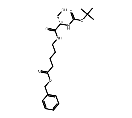 CC(C)(C)OC(=O)N[C@@H](CO)C(=O)NCCCCC(=O)OCc1ccccc1